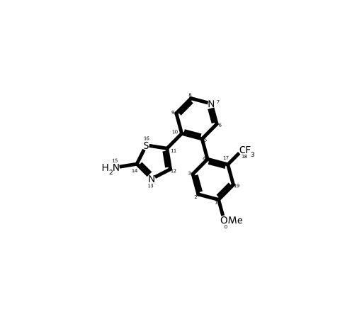 COc1ccc(-c2cnccc2-c2cnc(N)s2)c(C(F)(F)F)c1